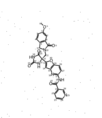 COc1ccc2c(c1)C(=O)N(C[C@@]1(c3cc4nc(NC(=O)c5cccnc5)ccc4o3)NC(=O)NC1=O)C2